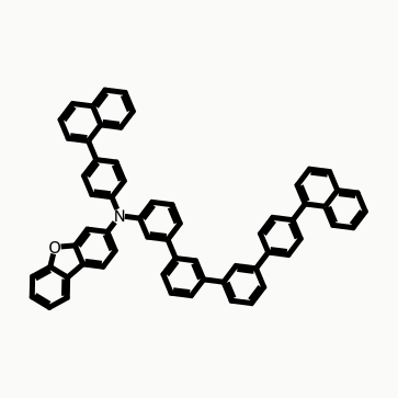 c1cc(-c2ccc(-c3cccc4ccccc34)cc2)cc(-c2cccc(-c3cccc(N(c4ccc(-c5cccc6ccccc56)cc4)c4ccc5c(c4)oc4ccccc45)c3)c2)c1